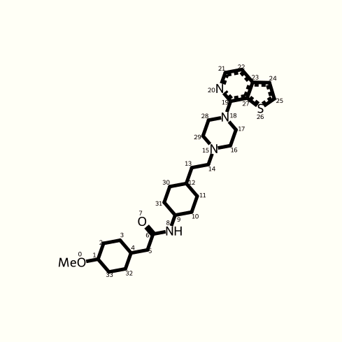 COC1CCC(CC(=O)NC2CCC(CCN3CCN(c4nccc5ccsc45)CC3)CC2)CC1